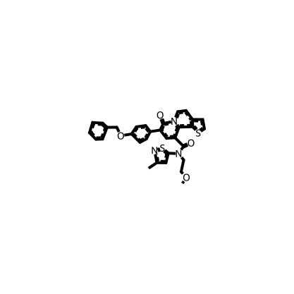 COCCN(C(=O)c1cc(-c2ccc(OCc3ccccc3)cc2)c(=O)n2ccc3ccsc3c12)c1cc(C)ns1